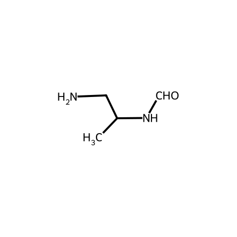 CC(CN)NC=O